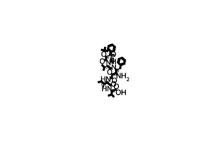 CC[C@H](C)[C@H](NC(=O)C[C@H](N)[C@H](Cc1ccccc1)NC(=O)[C@H](C(C)C)N(N=C=O)C(=O)[C@H](Cc1ccccc1)OC(C)(C)C)C(=O)N[C@H](C(=O)O)C(C)C